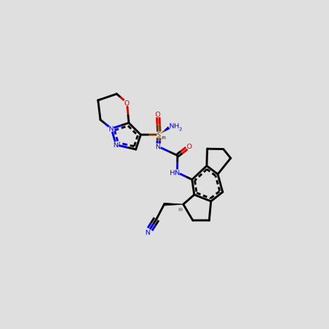 N#CC[C@@H]1CCc2cc3c(c(NC(=O)N=[S@@](N)(=O)c4cnn5c4OCCC5)c21)CCC3